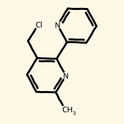 Cc1ccc(CCl)c(-c2ccccn2)n1